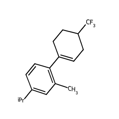 Cc1cc(C(C)C)ccc1C1=CCC(C(F)(F)F)CC1